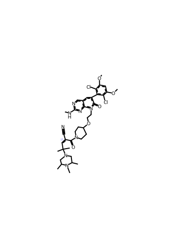 CNc1ncc2cc(-c3c(Cl)c(OC)cc(OC)c3Cl)c(=O)n(CCOC3CCN(C(=O)/C(C#N)=C\C(C)(C)N4CC(C)N(C)C(C)C4)CC3)c2n1